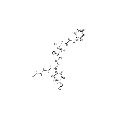 CCCCCC/C(=C\C=C\C(=O)N[C@H](C)CCCCc1cccnc1)c1ccc(OC)cc1